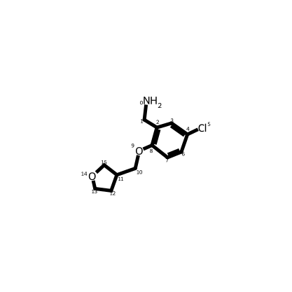 NCc1cc(Cl)ccc1OCC1CCOC1